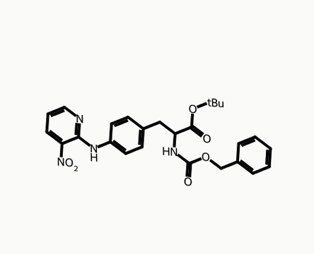 CC(C)(C)OC(=O)C(Cc1ccc(Nc2ncccc2[N+](=O)[O-])cc1)NC(=O)OCc1ccccc1